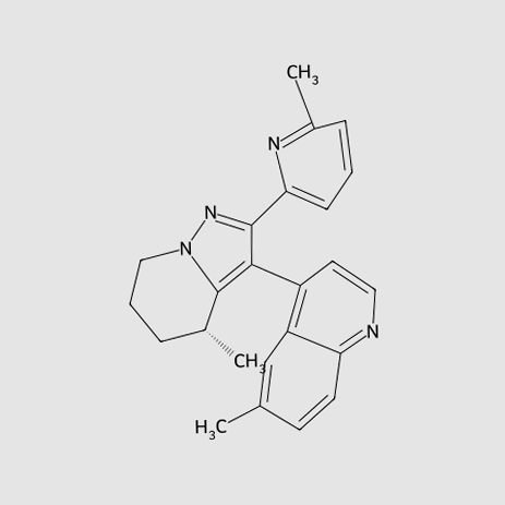 Cc1ccc2nccc(-c3c(-c4cccc(C)n4)nn4c3[C@H](C)CCC4)c2c1